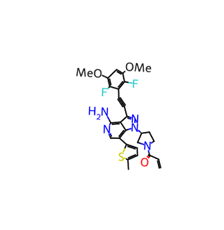 C=CC(=O)N1CC[C@H](n2nc(C#Cc3c(F)c(OC)cc(OC)c3F)c3c(N)ncc(-c4ccc(C)s4)c32)C1